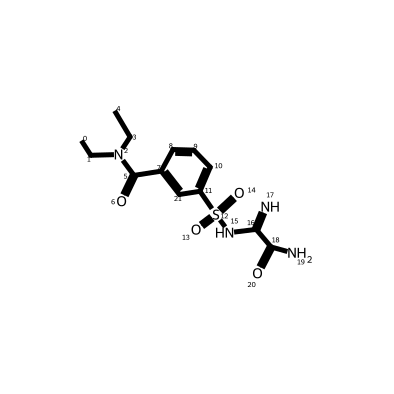 CCN(CC)C(=O)c1cccc(S(=O)(=O)NC(=N)C(N)=O)c1